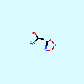 C1=NOOO1.CC(O)C(=O)O